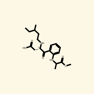 CCC(C)CCN[C@@H](CC(=O)O)C(=O)c1ccccc1NC(C)C(=O)OC